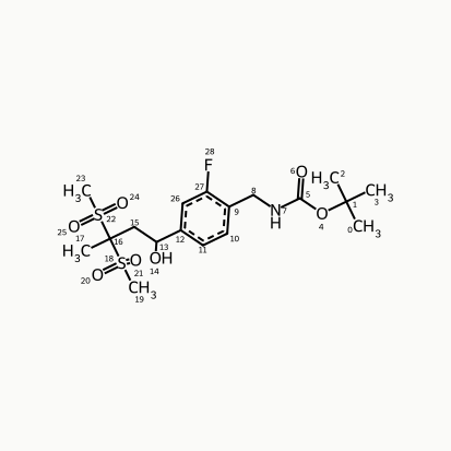 CC(C)(C)OC(=O)NCc1ccc(C(O)CC(C)(S(C)(=O)=O)S(C)(=O)=O)cc1F